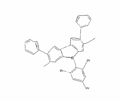 Cc1cc2c(cc1-c1ccccc1)-c1cc(-c3ccccc3)c(C)cc1B2c1c(C(C)C)cc(C(C)C)cc1C(C)C